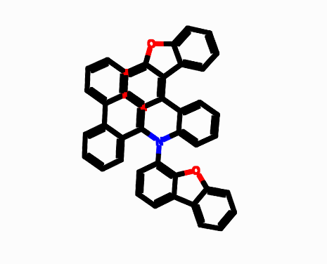 c1ccc(N(c2cc3ccccc3c3ccccc23)c2cccc3c2oc2ccccc23)c(-c2cccc3oc4ccccc4c23)c1